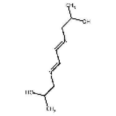 CC(O)CN=CC=NCC(C)O